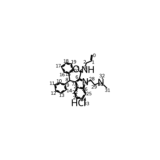 C=CCNC(=O)c1c(C(c2ccccc2)c2ccccc2)c2ccccc2n1CCN(C)C.Cl